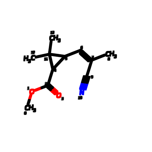 COC(=O)C1C(C=C(C)C#N)C1(C)C